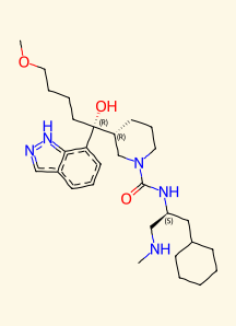 CNC[C@H](CC1CCCCC1)NC(=O)N1CCC[C@@H]([C@](O)(CCCCOC)c2cccc3cn[nH]c23)C1